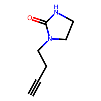 C#CCCN1CCNC1=O